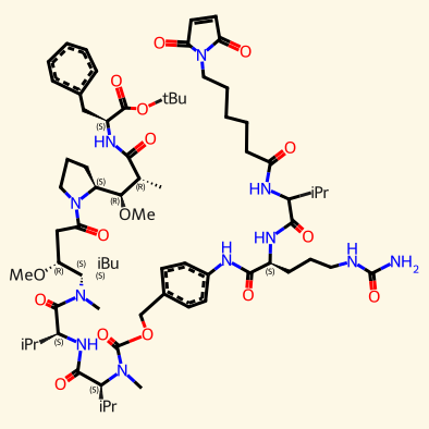 CC[C@H](C)[C@@H]([C@@H](CC(=O)N1CCC[C@H]1[C@H](OC)[C@@H](C)C(=O)N[C@@H](Cc1ccccc1)C(=O)OC(C)(C)C)OC)N(C)C(=O)[C@@H](NC(=O)[C@H](C(C)C)N(C)C(=O)OCc1ccc(NC(=O)[C@H](CCCNC(N)=O)NC(=O)C(NC(=O)CCCCCN2C(=O)C=CC2=O)C(C)C)cc1)C(C)C